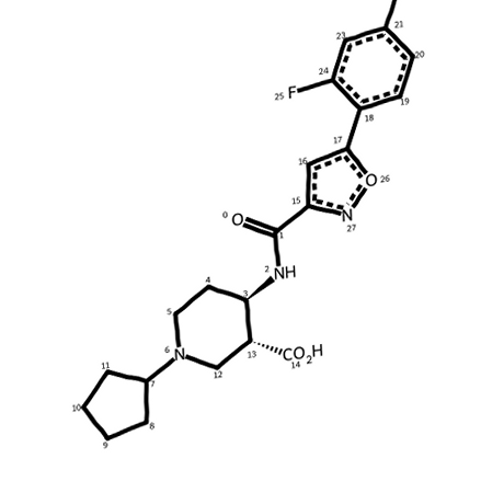 O=C(N[C@@H]1CCN(C2CCCC2)C[C@H]1C(=O)O)c1cc(-c2ccc(F)cc2F)on1